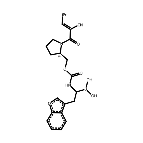 CC(C)C=C(C#N)C(=O)N1CCC[C@@H]1COC(=O)NC(Cc1coc2ccccc12)B(O)O